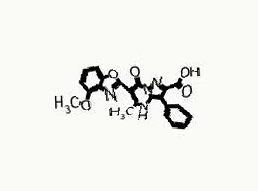 COc1cccc2oc(-c3c(C)[nH]c4c(-c5ccccc5)c(C(=O)O)nn4c3=O)nc12